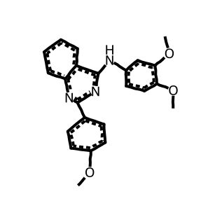 COc1ccc(-c2nc(Nc3ccc(OC)c(OC)c3)c3ccccc3n2)cc1